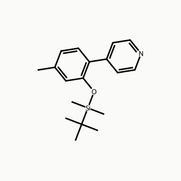 Cc1ccc(-c2ccncc2)c(O[Si](C)(C)C(C)(C)C)c1